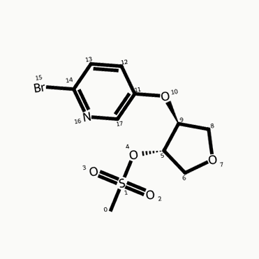 CS(=O)(=O)O[C@H]1COC[C@@H]1Oc1ccc(Br)nc1